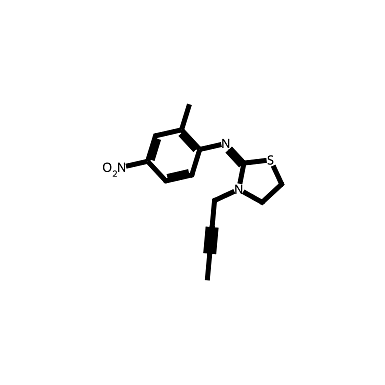 CC#CCN1CCSC1=Nc1ccc([N+](=O)[O-])cc1C